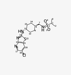 CC(C)S(=O)(=O)NC[C@H]1CC[C@H](Nc2nc3ncc(Cl)cc3s2)CC1